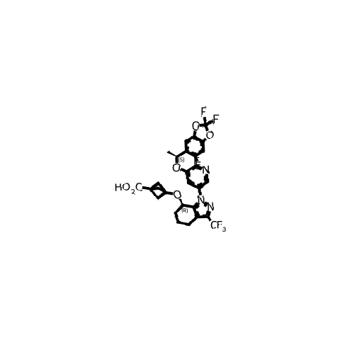 C[C@H](Oc1cc(-n2nc(C(F)(F)F)c3c2[C@H](OC24CC(C(=O)O)(C2)C4)CCC3)cnc1F)c1cc2c(cc1F)OC(F)(F)O2